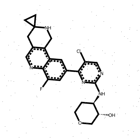 O[C@@H]1COCC[C@H]1Nc1ncc(Cl)c(-c2cc(F)c3ncc4c(c3c2)CNC2(CC2)C4)n1